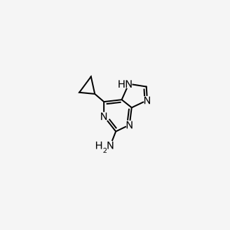 Nc1nc(C2CC2)c2[nH]cnc2n1